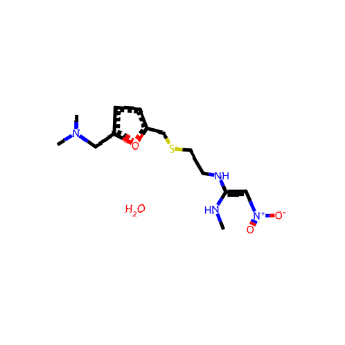 CNC(=C[N+](=O)[O-])NCCSCc1ccc(CN(C)C)o1.O